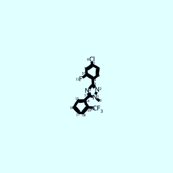 Cn1nc(-c2ccc(Cl)cc2F)nc1-c1ccccc1C(F)(F)F